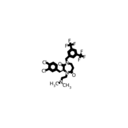 CN(C)CCN1C(=O)CCN(Cc2cc(C(F)(F)F)cc(C(F)(F)F)c2)C(=O)[C@@H]1Cc1ccc(Cl)c(Cl)c1